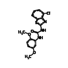 COc1ccc(OC)c(NC(=O)Nc2nc3c(Cl)cccc3s2)c1